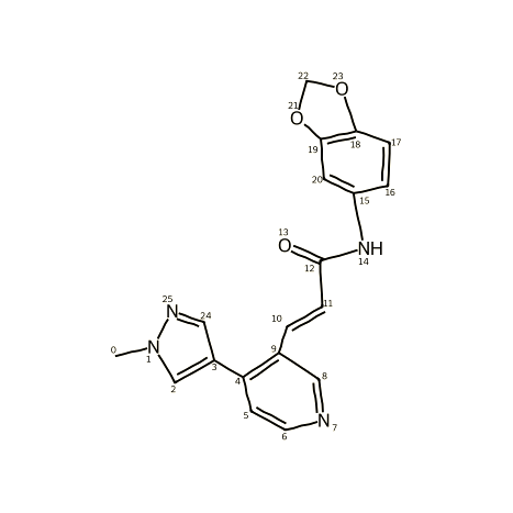 Cn1cc(-c2ccncc2C=CC(=O)Nc2ccc3c(c2)OCO3)cn1